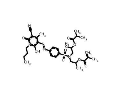 C=C(C)C(=O)OC(C)CN(CC(C)OC(=O)C(C)C)S(=O)(=O)c1ccc(/N=N/c2c(C)c(C#N)c(=O)n(CCCC)c2O)cc1